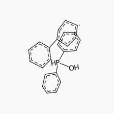 O[PH](c1ccccc1)(c1ccccc1)c1ccccc1-c1cc[c]cc1